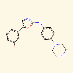 Oc1cccc(-c2cnc(Nc3ccc(N4CCNCC4)cc3)o2)c1